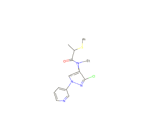 CCN(C(=O)C(C)SC(C)C)c1cn(-c2cccnc2)nc1Cl